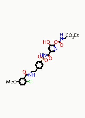 CCOC(=O)CNC(=O)Oc1ncc(C(=O)NS(=O)(=O)c2ccc(CCNC(=O)c3cc(OC)ccc3Cl)cc2)cc1O